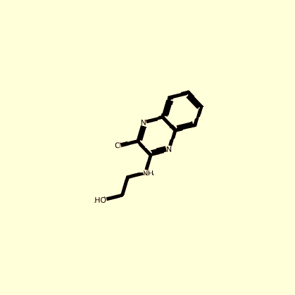 OCCNc1nc2ccccc2nc1Cl